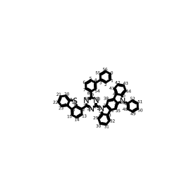 c1ccc(-c2cccc(-c3nc(-c4cccc5c4sc4ccccc45)nc(-n4c5ccccc5c5cc6c(cc54)c4ccccc4n6-c4ccccc4)n3)c2)cc1